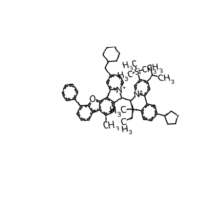 CCC1(C)c2ccc(C3CCCC3)cc2-c2cc(C(C)C)c([Si](C)(C)C)c[n+]2C1C1c2cc(C)c3c(oc4c(-c5ccccc5)cccc43)c2-c2cc(CC3CCCCC3)cc[n+]21